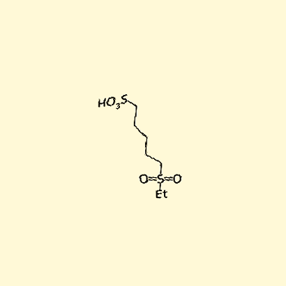 CCS(=O)(=O)CCCCCS(=O)(=O)O